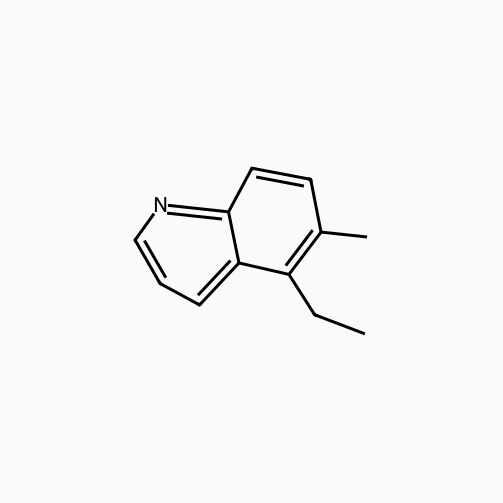 CCc1c(C)ccc2ncccc12